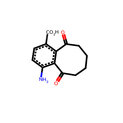 Nc1ccc(C(=O)O)c2c1C(=O)CCCCC2=O